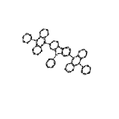 c1ccc(-c2c3ccccc3c(-c3ccc4c5ccc(-c6c7ccccc7c(-c7ccccc7)c7ccccc67)cc5n(-c5ccccc5)c4c3)c3ccccc23)cc1